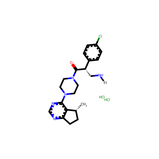 CCNC[C@H](C(=O)N1CCN(c2ncnc3c2[C@H](C)CC3)CC1)c1ccc(Cl)cc1.Cl.Cl